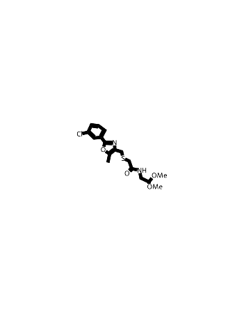 COC(CNC(=O)CSCc1nc(-c2cccc(Cl)c2)oc1C)OC